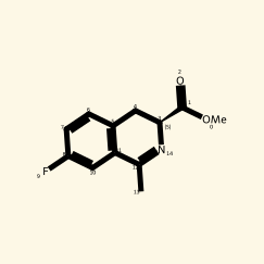 COC(=O)[C@@H]1Cc2ccc(F)cc2C(C)=N1